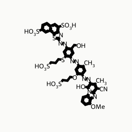 COc1cccc2c1nc1c(C#N)c(C)c(N=Nc3cc(C)c(N=Nc4cc(CO)c(N=Nc5nc6c(S(=O)(=O)O)cc7ccc(S(=O)(=O)O)cc7c6s5)cc4SCCCS(=O)(=O)O)cc3OCCCS(=O)(=O)O)c(O)n12